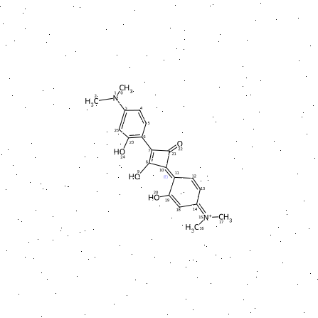 CN(C)c1ccc(C2=C(O)/C(=C3/C=CC(=[N+](C)C)C=C3O)C2=O)c(O)c1